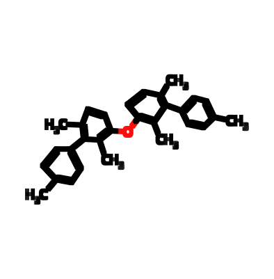 Cc1ccc(-c2c(C)ccc(Oc3ccc(C)c(-c4ccc(C)cc4)c3C)c2C)cc1